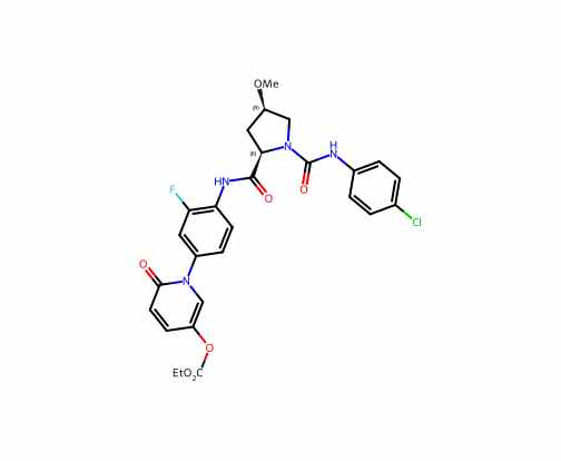 CCOC(=O)Oc1ccc(=O)n(-c2ccc(NC(=O)[C@H]3C[C@@H](OC)CN3C(=O)Nc3ccc(Cl)cc3)c(F)c2)c1